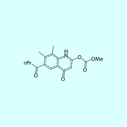 CCCC(=O)c1cc2c(=O)cc(OC(=O)OC)[nH]c2c(C)c1C